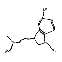 CC(=O)N(C)CCC1CN(C(C)=O)c2ccc(Br)cc21